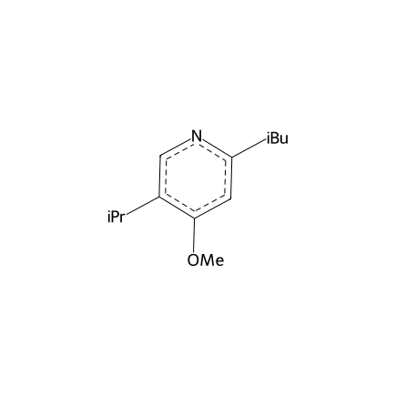 CCC(C)c1cc(OC)c(C(C)C)cn1